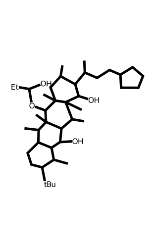 CCC(O)OC1C2(C)C(C)C3CCC(C(C)(C)C)C(C)C3C(O)C2C(C)C2(C)C(O)C(C(C)CCC3CCCC3)C(C)CC12C